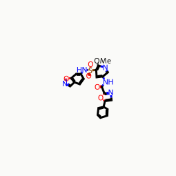 COc1ncc(NC(=O)c2ncc(-c3ccccc3)o2)cc1S(=O)(=O)Nc1ccc2cnoc2c1